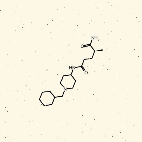 C[C@@H](C[CH]C(=O)NC1CCN(CC2CCCCC2)CC1)C(N)=O